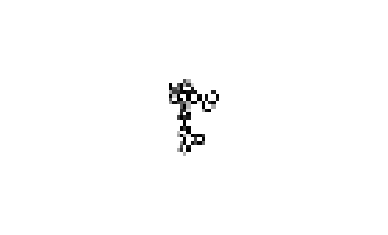 c1cc(-c2cccc3ccccc23)cc(N(c2ccc(-c3ccc4c5ccccc5c5ccccc5c4c3)cc2)c2cccc3oc4ccccc4c23)c1